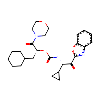 O=C(N[C@H](C(=O)c1nc2ccccc2o1)C1CC1)O[C@@H](CC1CCCCC1)C(=O)N1CCOCC1